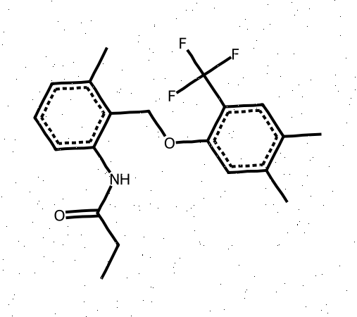 CCC(=O)Nc1cccc(C)c1COc1cc(C)c(C)cc1C(F)(F)F